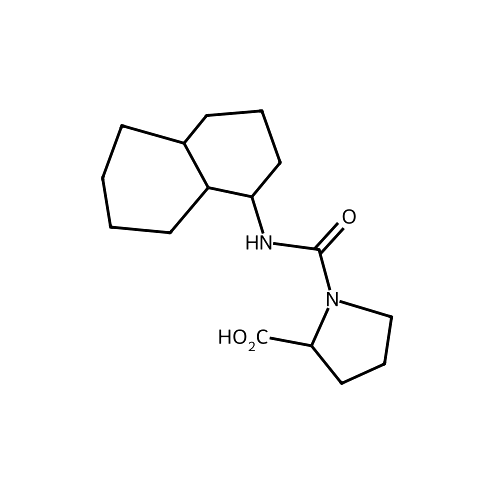 O=C(O)C1CCCN1C(=O)NC1CCCC2CCCCC21